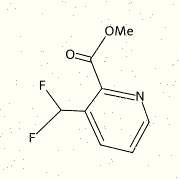 COC(=O)c1ncccc1C(F)F